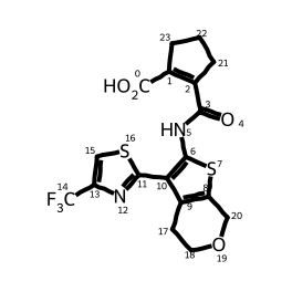 O=C(O)C1=C(C(=O)Nc2sc3c(c2-c2nc(C(F)(F)F)cs2)CCOC3)CCC1